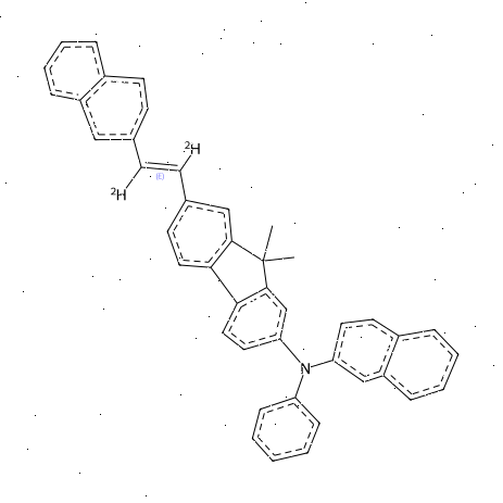 [2H]/C(=C(/[2H])c1ccc2ccccc2c1)c1ccc2c(c1)C(C)(C)c1cc(N(c3ccccc3)c3ccc4ccccc4c3)ccc1-2